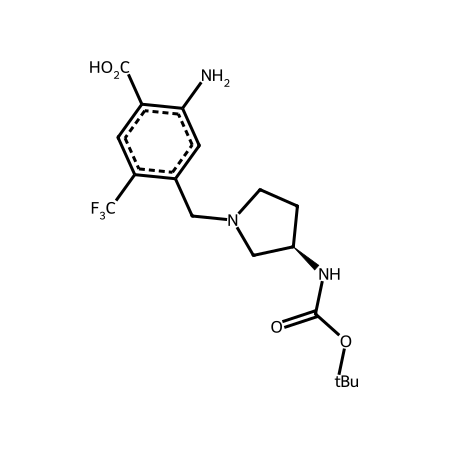 CC(C)(C)OC(=O)N[C@@H]1CCN(Cc2cc(N)c(C(=O)O)cc2C(F)(F)F)C1